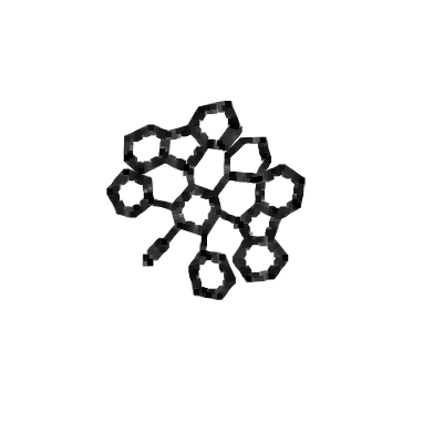 N#Cc1c(-c2ccccc2)c(-n2c3c#cccc3c3ccccc32)c(C2=CC=CCC2)c(-n2c3ccccc3c3ccccc32)c1-c1ccccc1